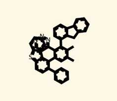 Cc1cc(-c2c(-c3ccccc3)ccc3sc4ccccc4c23)c(-c2ccnnn2)c(-c2cccc3c2Cc2ccccc2-3)c1C